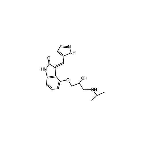 CC(C)NCC(O)COc1cccc2c1/C(=C/c1ccn[nH]1)C(=O)N2